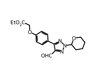 CCOC(=O)COc1ccc(-c2nn(C3CCCCO3)nc2C=O)cc1